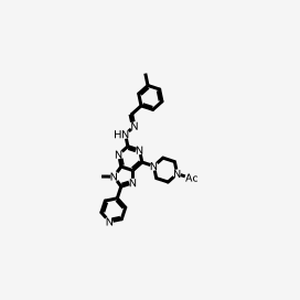 CC(=O)N1CCN(c2nc(NN=Cc3cccc(C)c3)nc3c2nc(-c2ccncc2)n3C)CC1